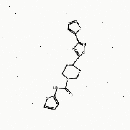 O=C(Nc1cccs1)N1CCC(c2nc(-c3cccs3)no2)CC1